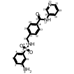 Bc1cccc(S(=O)(=O)NCc2ccc(C(=O)Nc3cccnc3)cc2)c1